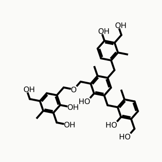 Cc1ccc(CO)c(O)c1Cc1cc(Cc2ccc(O)c(CO)c2C)c(C)c(COCc2cc(CO)c(C)c(CO)c2O)c1O